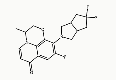 CC1COc2c(N3CC4CC(F)(F)CC4C3)c(F)cc3c(=O)ccn1c23